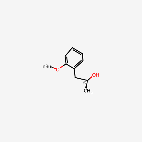 CCCCOc1ccccc1C[C@H](C)O